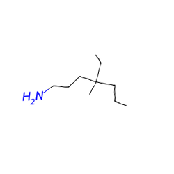 CCCC(C)(CC)CCCN